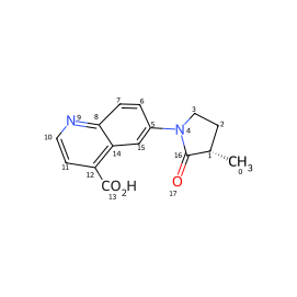 C[C@H]1CCN(c2ccc3nccc(C(=O)O)c3c2)C1=O